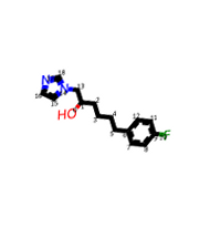 OC(CCCCc1ccc(F)cc1)Cn1ccnc1